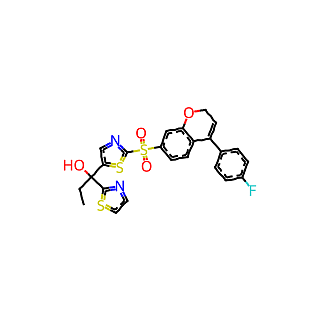 CCC(O)(c1cnc(S(=O)(=O)c2ccc3c(c2)OCC=C3c2ccc(F)cc2)s1)c1nccs1